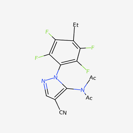 CCc1c(F)c(F)c(-n2ncc(C#N)c2N(C(C)=O)C(C)=O)c(F)c1F